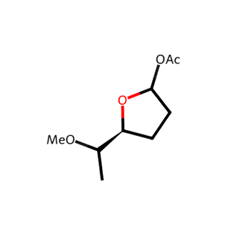 COC(C)[C@@H]1CCC(OC(C)=O)O1